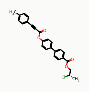 Cc1ccc(C#CC(=O)Oc2ccc(-c3ccc(C(=O)OC[C@H](C)Cl)cc3)cc2)cc1